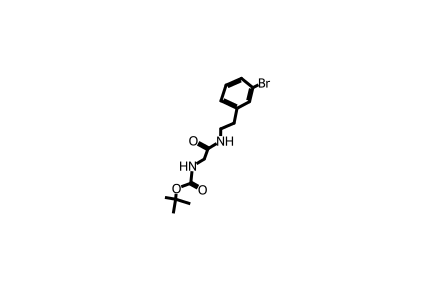 CC(C)(C)OC(=O)NCC(=O)NCCc1cccc(Br)c1